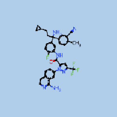 Cc1ccc(C(N)(CCC2CC2)c2ccc(F)c(NC(=O)c3cc(C(F)(F)F)nn3-c3ccc4ccnc(N)c4c3)c2)cc1C#N